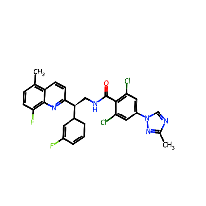 Cc1ncn(-c2cc(Cl)c(C(=O)NC[C@H](c3ccc4c(C)ccc(F)c4n3)C3C=C(F)C=CC3)c(Cl)c2)n1